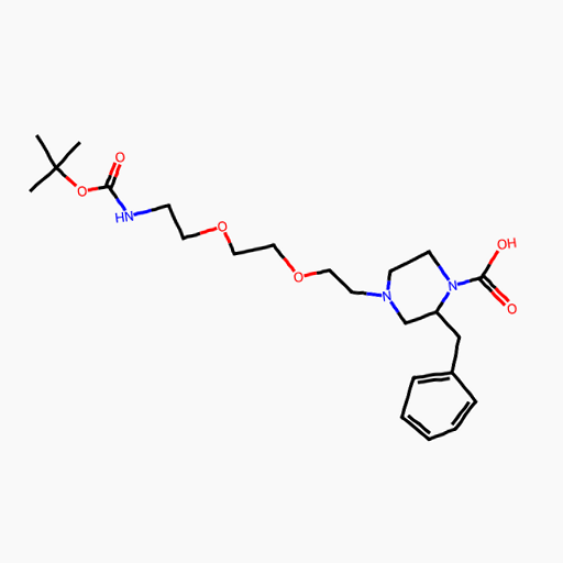 CC(C)(C)OC(=O)NCCOCCOCCN1CCN(C(=O)O)C(Cc2ccccc2)C1